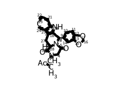 CC(C)=O.CN1CC(=O)N2[C@H](c3ccc4c(c3)OCO4)c3[nH]c4ccccc4c3C[C@@H]2C1=O